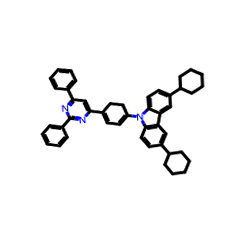 C1=C(c2cc(-c3ccccc3)nc(-c3ccccc3)n2)CCC(n2c3ccc(C4CCCCC4)cc3c3cc(C4CCCCC4)ccc32)=C1